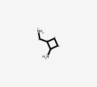 NCC1CCC1N